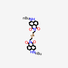 CCCCNc1ccc2c3c(cccc13)C(=O)N(CCSSCCN1C(=O)c3cccc4c(NCCCC)ccc(c34)C1=O)C2=O